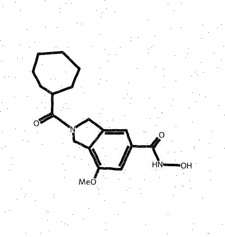 COc1cc(C(=O)NO)cc2c1CN(C(=O)C1CCCCCC1)C2